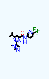 CC(C)c1cc(C(=O)Nc2ccc(C(F)(F)F)nc2)nc(-c2cncn2C)n1